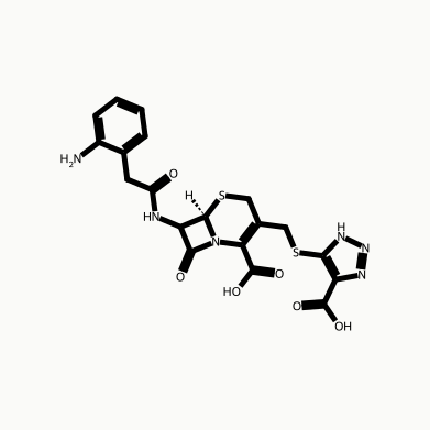 Nc1ccccc1CC(=O)NC1C(=O)N2C(C(=O)O)=C(CSc3[nH]nnc3C(=O)O)CS[C@H]12